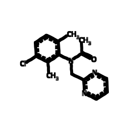 CC(=O)N(Cc1ncccn1)c1c(C)ccc(Cl)c1C